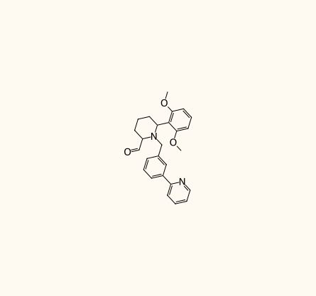 COc1cccc(OC)c1C1CCCC(C=O)N1Cc1cccc(-c2ccccn2)c1